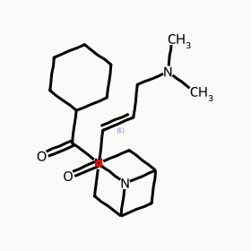 CN(C)C/C=C/C(=O)N1C2CC1CN(C(=O)C1CCCCC1)C2